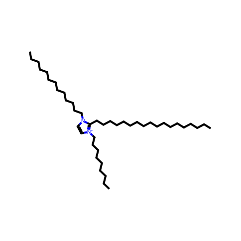 CCCCCCCCCCCCCCCCCCc1n(CCCCCCCCCCCCC)cc[n+]1CCCCCCCCC